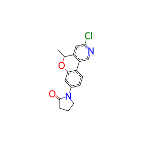 CC1Oc2cc(N3CCCC3=O)ccc2-c2cnc(Cl)cc21